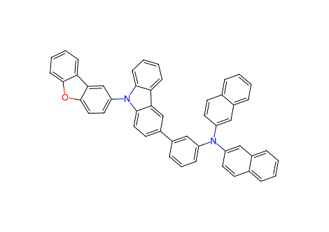 c1cc(-c2ccc3c(c2)c2ccccc2n3-c2ccc3oc4ccccc4c3c2)cc(N(c2ccc3ccccc3c2)c2ccc3ccccc3c2)c1